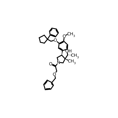 COc1ccc([C@@H]2CN(C(=O)COCc3ccccc3)C[C@@]2(C)[C@@H](C)O)cc1OCC1(c2ccccc2)CCCC1